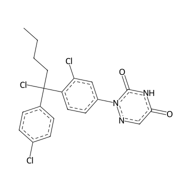 CCCCC(Cl)(c1ccc(Cl)cc1)c1ccc(-n2ncc(=O)[nH]c2=O)cc1Cl